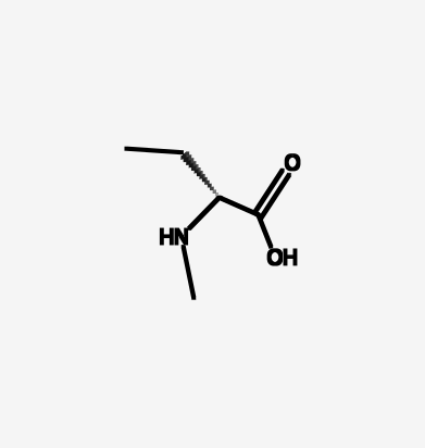 CC[C@@H](NC)C(=O)O